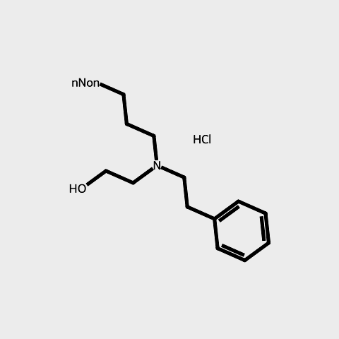 CCCCCCCCCCCCN(CCO)CCc1ccccc1.Cl